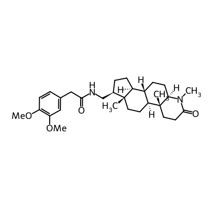 COc1ccc(CC(=O)NC[C@H]2CC[C@H]3[C@@H]4CC[C@H]5N(C)C(=O)CC[C@]5(C)[C@H]4CC[C@]23C)cc1OC